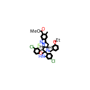 CCOc1cccc(CN2[C@H]3Cc4c5cc(C)c(C(=O)OC)cc5nn4[C@H]3[C@H](c3cccc(Cl)c3F)[C@]23C(=O)Nc2cc(Cl)ccc23)c1